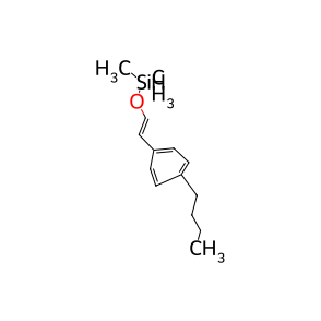 CCCCc1ccc(C=CO[SiH](C)C)cc1